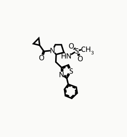 CS(=O)(=O)NC1CCN(C(=O)C2CC2)C1Cc1csc(-c2ccccc2)n1